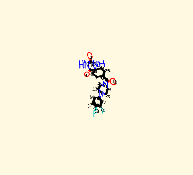 O=C1NC(=O)C2(CCC(C(=O)N3CCN(c4ccc(F)c(F)c4)CC3)CC2)N1